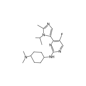 Cc1ncc(-c2nc(NC3CCC(N(C)C)CC3)ncc2F)n1C(C)C